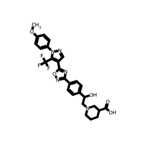 COc1ccc(-n2ncc(-c3nc(-c4ccc(C(O)CN5CCCC(C(=O)O)C5)cc4)no3)c2C(F)(F)F)cc1